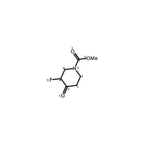 COC(=O)N1CCC(=O)C(F)C1